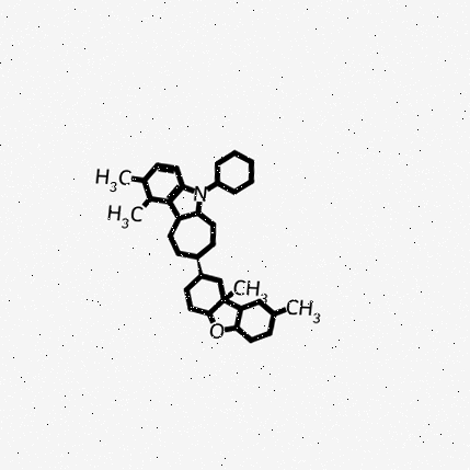 CC1CCC2OC3CCC([C@H]4CCC5C6=C(C=CC(C)C6C)N(C6CCCCC6)C5CC4)CC3(C)C2C1